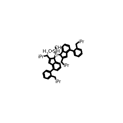 CC(C)CC1=Cc2c(-c3ccccc3CC(C)C)cccc2[CH]1[Zr]([CH]1C(CC(C)C)=Cc2c(-c3ccccc3CC(C)C)cccc21)[SiH](C)C